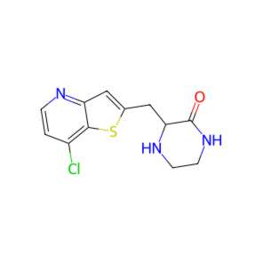 O=C1NCCNC1Cc1cc2nccc(Cl)c2s1